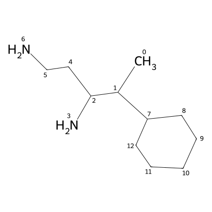 CC(C(N)CCN)C1CCCCC1